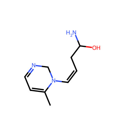 CC1=CC=NCN1/C=C\CC(N)O